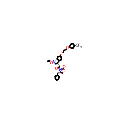 C=CO/N=C/[C@@H](CC(=O)N1C(=O)OC[C@@H]1Cc1ccccc1)c1ccc(OCCCOc2ccc(C(F)(F)F)cc2)cc1